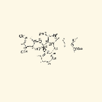 COC(=O)CCc1nc(C(C)C)c(S(=O)(=O)Oc2cc(Cl)cc(Cl)c2)n1Cc1cccnc1